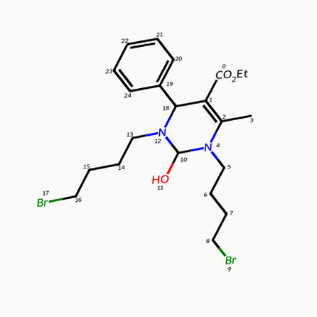 CCOC(=O)C1=C(C)N(CCCCBr)C(O)N(CCCCBr)C1c1ccccc1